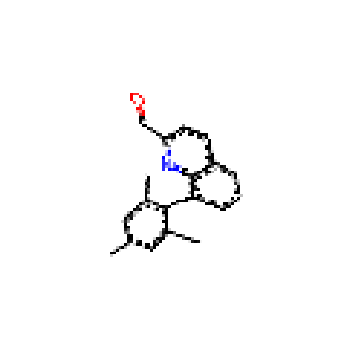 Cc1cc(C)c(-c2cccc3ccc(C=O)nc23)c(C)c1